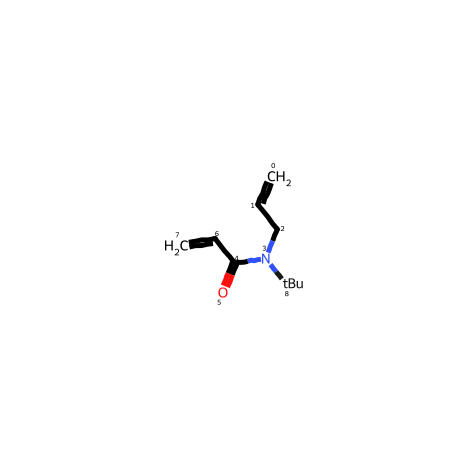 C=CCN(C(=O)C=C)C(C)(C)C